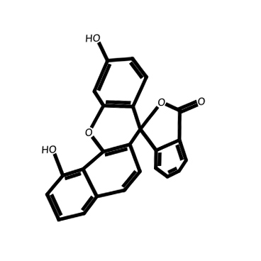 O=C1OC2(c3ccc(O)cc3Oc3c2ccc2cccc(O)c32)c2ccccc21